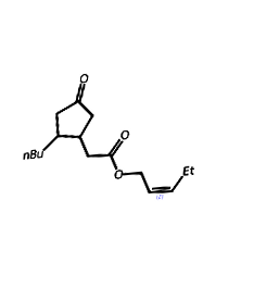 CC/C=C\COC(=O)CC1CC(=O)CC1CCCC